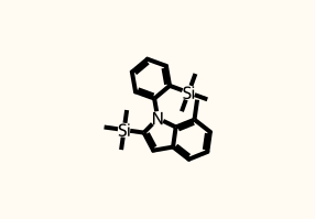 Cc1cccc2cc([Si](C)(C)C)n(-c3ccccc3[Si](C)(C)C)c12